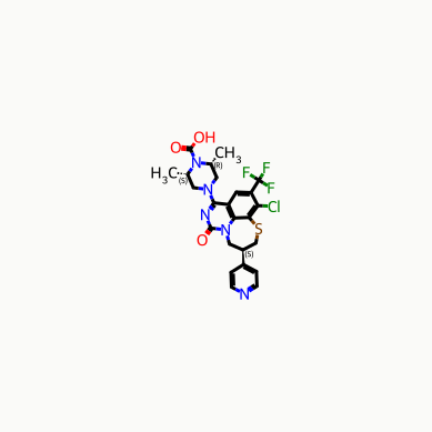 C[C@@H]1CN(c2nc(=O)n3c4c(c(Cl)c(C(F)(F)F)cc24)SC[C@@H](c2ccncc2)C3)C[C@H](C)N1C(=O)O